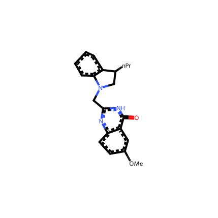 CCCC1CN(Cc2nc3ccc(OC)cc3c(=O)[nH]2)c2ccccc21